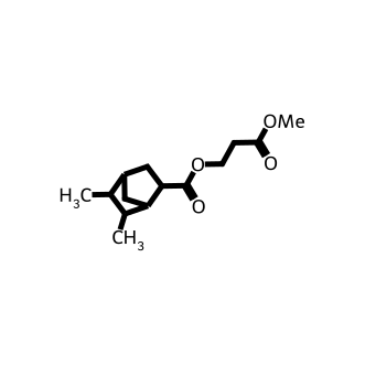 COC(=O)CCOC(=O)C1CC2CC1C(C)C2C